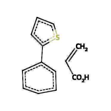 C=CC(=O)O.c1ccc(-c2cccs2)cc1